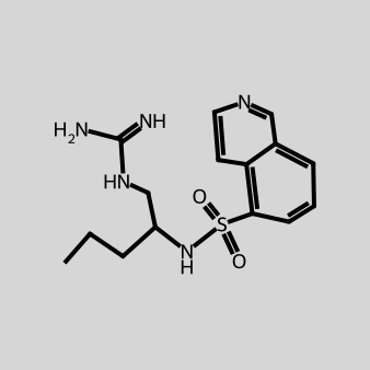 CCCC(CNC(=N)N)NS(=O)(=O)c1cccc2cnccc12